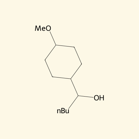 CCCCC(O)C1CCC(OC)CC1